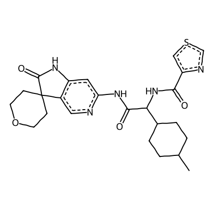 CC1CCC(C(NC(=O)c2cscn2)C(=O)Nc2cc3c(cn2)C2(CCOCC2)C(=O)N3)CC1